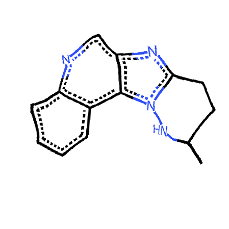 CC1CCc2nc3cnc4ccccc4c3n2N1